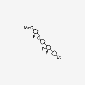 CCc1ccc(-c2ccc(-c3ccc(OCc4ccc(OC)cc4F)cc3)c(F)c2F)cc1